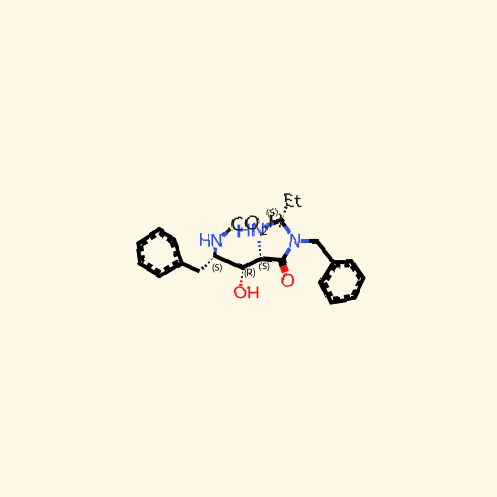 CC[C@H]1N[C@@H]([C@H](O)[C@H](Cc2ccccc2)NC(=O)O)C(=O)N1Cc1ccccc1